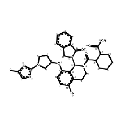 Cc1cnc(N2CCC(Oc3ccc(Br)c4c3C(N3Cc5ccccc5C3=O)N(C(=O)C3CCCCC3C(=O)O)CC4)C2)s1